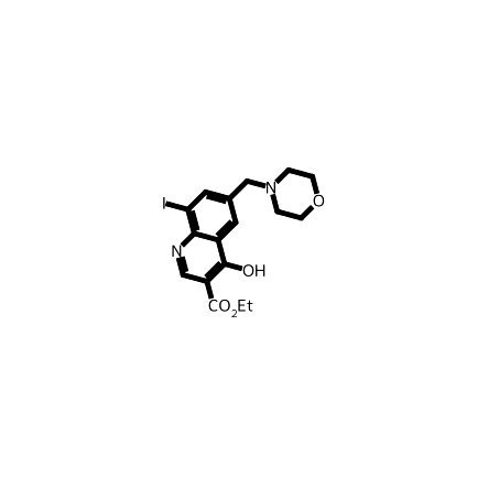 CCOC(=O)c1cnc2c(I)cc(CN3CCOCC3)cc2c1O